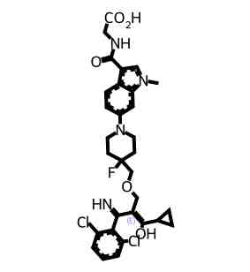 Cn1cc(C(=O)NCC(=O)O)c2ccc(N3CCC(F)(COC/C(C(=N)c4c(Cl)cccc4Cl)=C(/O)C4CC4)CC3)cc21